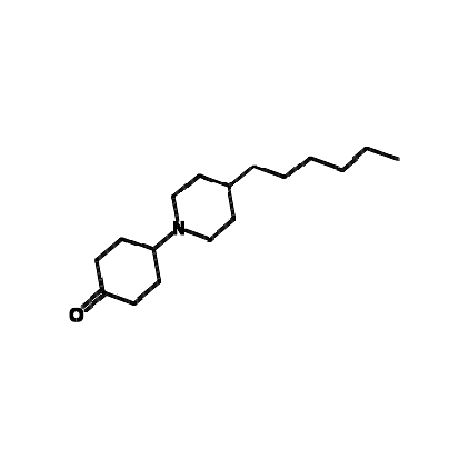 CCCCCCC1CCN(C2CCC(=O)CC2)CC1